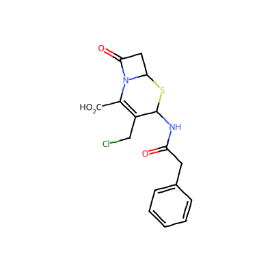 O=C(Cc1ccccc1)NC1SC2CC(=O)N2C(C(=O)O)=C1CCl